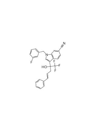 N#Cc1ccc2c(C(O)(C/C=C/c3ccccc3)C(F)(F)F)cn(Cc3cccc(F)c3)c2c1